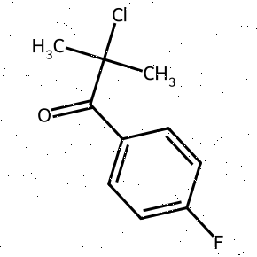 CC(C)(Cl)C(=O)c1ccc(F)cc1